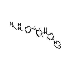 N#CCNCc1ccc(Sc2ccnc(Nc3ccc(N4CCOCC4)cc3)n2)cc1